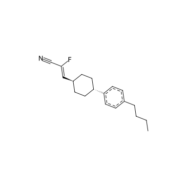 CCCCc1ccc([C@H]2CC[C@H](C=C(F)C#N)CC2)cc1